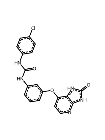 O=C(Nc1ccc(Cl)cc1)Nc1cccc(Oc2ccnc3[nH]c(=O)[nH]c23)c1